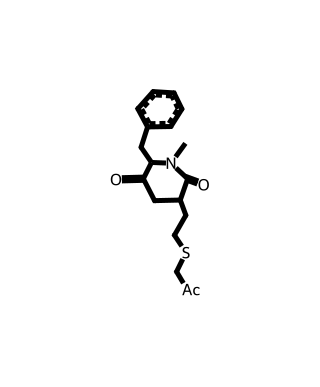 CC(=O)CSCCC1CC(=O)C(Cc2ccccc2)N(C)C1=O